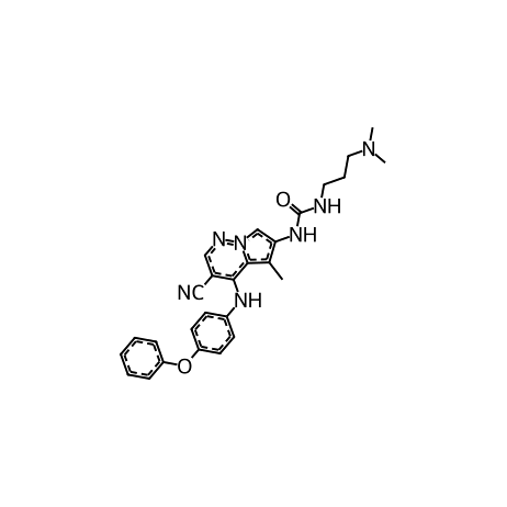 Cc1c(NC(=O)NCCCN(C)C)cn2ncc(C#N)c(Nc3ccc(Oc4ccccc4)cc3)c12